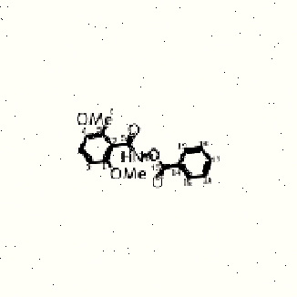 COc1cccc(OC)c1C(=O)NOC(=O)c1ccccc1